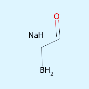 BCC=O.[NaH]